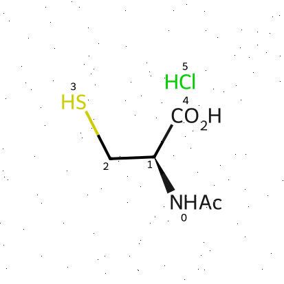 CC(=O)N[C@@H](CS)C(=O)O.Cl